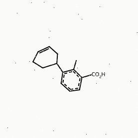 Cc1c(C(=O)O)cccc1C1CC=CCC1